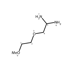 COCCOCC(N)N